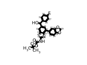 CC(C)(C)OC(=O)Nc1nc2c(-c3ccc4c(c3)OCO4)cc(C(O)c3ccc(F)cc3)cc2s1